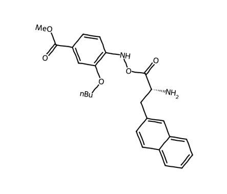 CCCCOc1cc(C(=O)OC)ccc1NOC(=O)[C@H](N)Cc1ccc2ccccc2c1